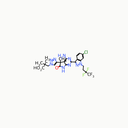 CC(C)(Cn1cc(C2(C)C(=O)Nc3nc(-c4nn(CCC(F)(F)C(F)(F)F)c5cc(Cl)ccc45)nc(N)c32)nn1)C(=O)O